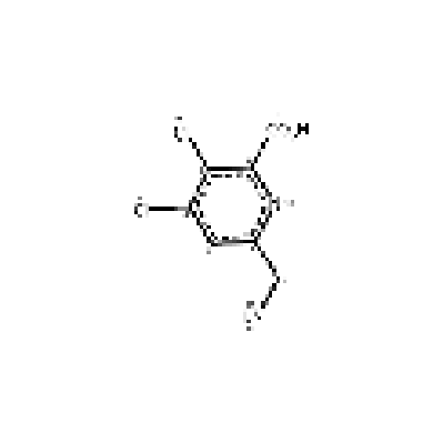 NCc1cc(Cl)c(Cl)c(C(=O)O)n1